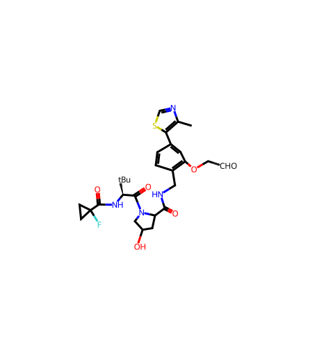 Cc1ncsc1-c1ccc(CNC(=O)C2CC(O)CN2C(=O)[C@@H](NC(=O)C2(F)CC2)C(C)(C)C)c(OCC=O)c1